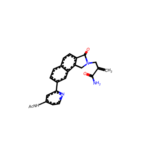 C=C(CN1Cc2c(ccc3ccc(-c4cc(NC(C)=O)ccn4)cc23)C1=O)C(N)=O